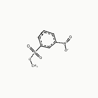 COS(=O)(=O)c1[c]ccc([N+](=O)[O-])c1